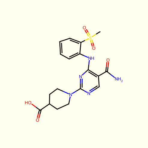 CS(=O)(=O)c1ccccc1Nc1nc(N2CCC(C(=O)O)CC2)ncc1C(N)=O